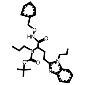 CCCN(C(=O)OC(C)(C)C)C(CCc1nc2ccccc2n1CCC)C(=O)NOCc1ccccc1